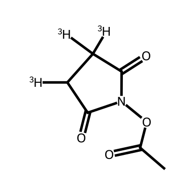 [3H]C1C(=O)N(OC(C)=O)C(=O)C1([3H])[3H]